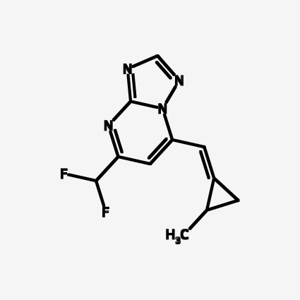 CC1C/C1=C/c1cc(C(F)F)nc2ncnn12